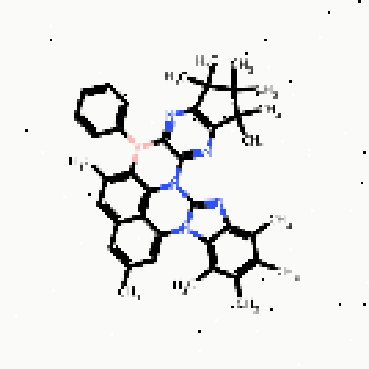 Cc1cc2cc(C)c3c4c2c(c1)n1c2c(C)c(C)c(C)c(C)c2nc1n4-c1nc2c(nc1B3c1ccccc1)C(C)(C)C(C)(C)C2(C)C